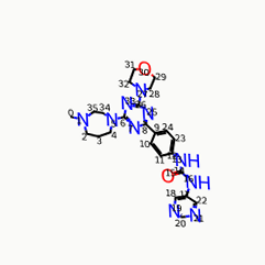 CN1CCCN(c2nc(-c3ccc(NC(=O)Nc4cncnc4)cc3)nc(N3CCOCC3)n2)CC1